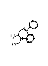 CC(C)CN1c2ccccc2C(c2ccccc2)=NCC1N